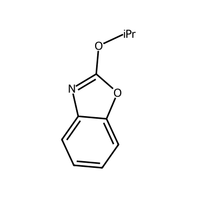 CC(C)Oc1nc2ccccc2o1